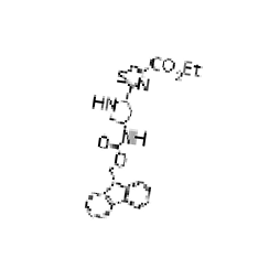 CCOC(=O)c1csc([C@H]2C[C@@H](NC(=O)OCC3c4ccccc4-c4ccccc43)CN2)n1